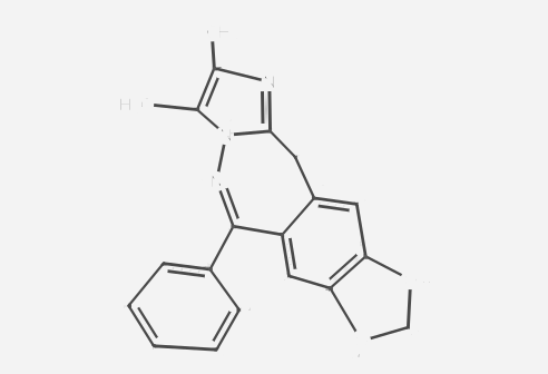 Cc1nc2n(c1C)N=C(c1ccccc1)c1cc3c(cc1C2)OCO3